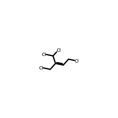 ClCC=C(CCl)C(Cl)Cl